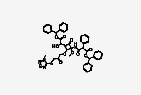 COC1(NC(=O)C(C(=O)OC(c2ccccc2)c2ccccc2)c2ccccc2)C(=O)N(C(O)C(=O)OC(c2ccccc2)c2ccccc2)C1OCC(=O)CSc1nnnn1C